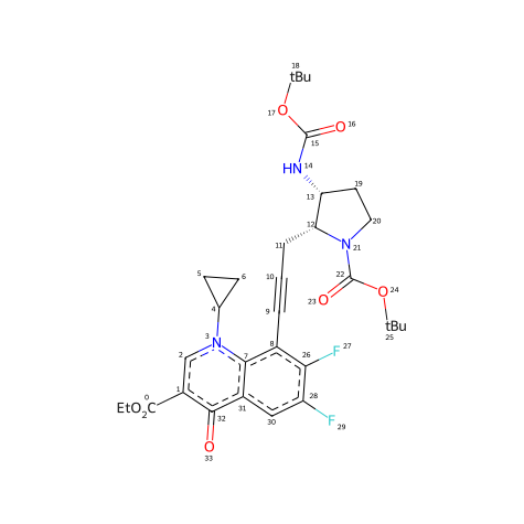 CCOC(=O)c1cn(C2CC2)c2c(C#CC[C@@H]3[C@H](NC(=O)OC(C)(C)C)CCN3C(=O)OC(C)(C)C)c(F)c(F)cc2c1=O